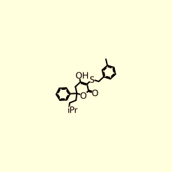 Cc1cccc(CSC2=C(O)CC(CCC(C)C)(c3ccccc3)OC2=O)c1